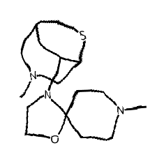 CN1CCC2(CC1)OCCN2C1CC2CSC1CN(C)C2